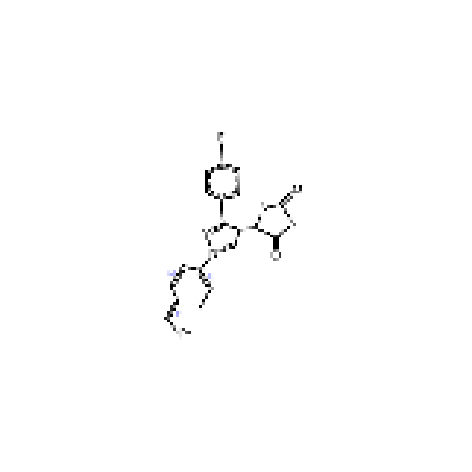 C\C=C(/C=C\C=C\C(C)C)[N+]1=CC(C2NC(=O)NC2=O)C(c2ccc(F)cc2)=N1